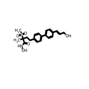 CC(CCc1ccc(-c2ccc(C=CCO)cc2)cc1)(C(=O)NO)S(C)(=O)=O